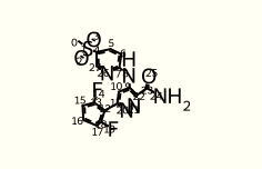 CS(=O)(=O)c1ccc(Nc2cc(-c3c(F)cccc3F)nnc2C(N)=O)nc1